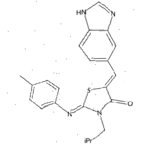 Cc1ccc(/N=C2\S/C(=C\c3ccc4[nH]cnc4c3)C(=O)N2CC(C)C)cc1